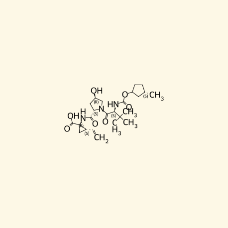 C=C[C@@H]1C[C@]1(NC(=O)[C@@H]1C[C@@H](O)CN1C(=O)[C@@H](NC(=O)OC1CC[C@H](C)C1)C(C)(C)C)C(=O)O